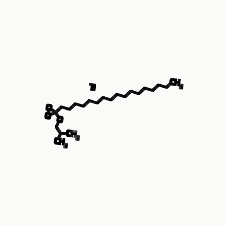 CCCCCCCCCCCCCCCCCC1(OCC(C)C)OO1.[Ti]